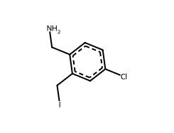 NCc1ccc(Cl)cc1CI